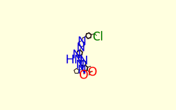 CC(=O)c1c(C)c2cnc(Nc3ccc(N4CCN(Cc5ccc(CCl)cc5)CC4)cn3)nc2n(C2CCCC2)c1=O